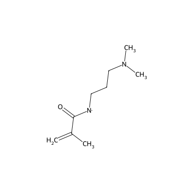 C=C(C)C(=O)[N]CCCN(C)C